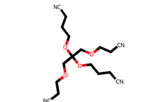 N#CCCCOC(COCCC#N)(COCCC#N)OCCCC#N